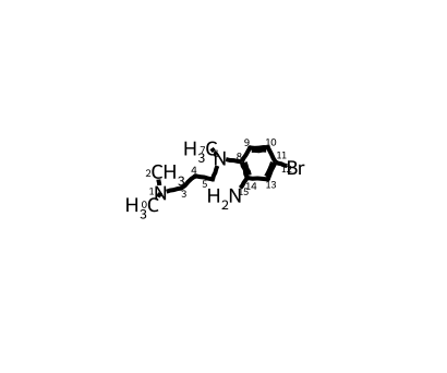 CN(C)CCCN(C)c1ccc(Br)cc1N